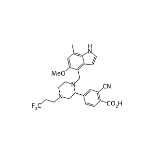 COc1cc(C)c2[nH]ccc2c1CN1CCN(CCC(F)(F)F)CC1c1ccc(C(=O)O)c(C#N)c1